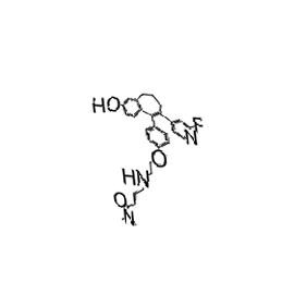 CN(C)C(=O)/C=C/CNCCOc1ccc(C2=C(c3ccnc(F)c3)CCCc3cc(O)ccc32)cc1